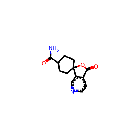 NC(=O)C1CCC2(CC1)OC(=O)c1ccncc12